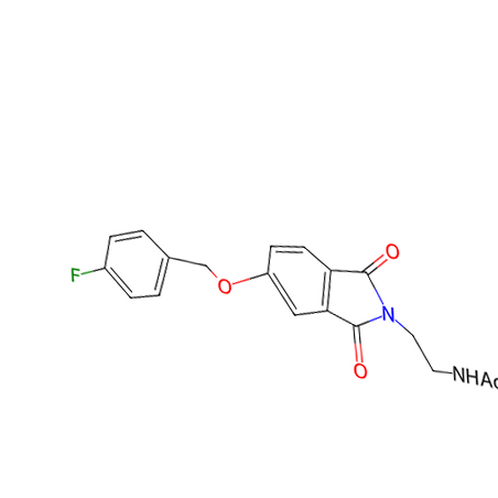 CC(=O)NCCN1C(=O)c2ccc(OCc3ccc(F)cc3)cc2C1=O